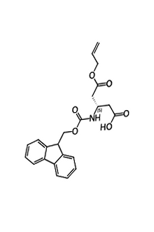 C=CCOC(=O)C[C@H](CC(=O)O)NC(=O)OCC1c2ccccc2-c2ccccc21